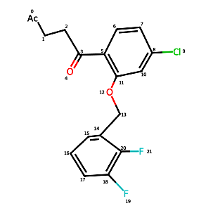 CC(=O)CCC(=O)c1ccc(Cl)cc1OCc1cccc(F)c1F